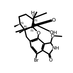 COC1NC(=O)c2c(Br)cc3c(c21)O[C@@]12CC(O)C(=O)C(C)(C)[C@@H]1CC[C@H](C)[C@@]2(C)C3